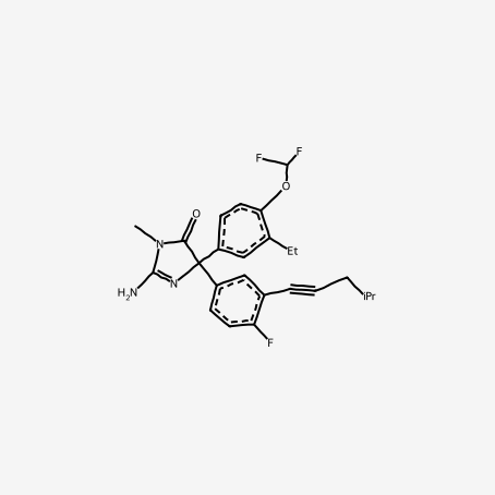 CCc1cc(C2(c3ccc(F)c(C#CCC(C)C)c3)N=C(N)N(C)C2=O)ccc1OC(F)F